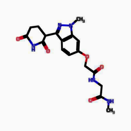 CNC(=O)CNC(=O)COc1ccc2c(C3CCC(=O)NC3=O)nn(C)c2c1